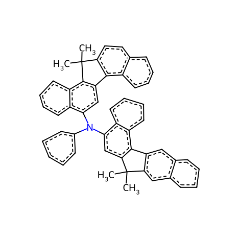 CC1(C)c2cc3ccccc3cc2-c2c1cc(N(c1ccccc1)c1cc3c(c4ccccc14)C(C)(C)c1ccc4ccccc4c1-3)c1ccccc21